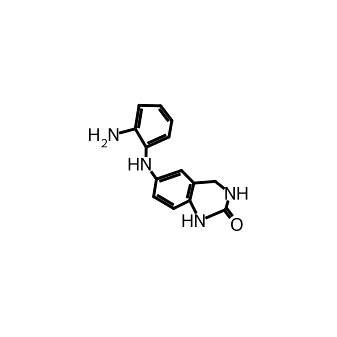 Nc1ccccc1Nc1ccc2c(c1)CNC(=O)N2